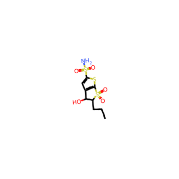 CCCC1C(O)c2cc(S(N)(=O)=O)sc2S1(=O)=O